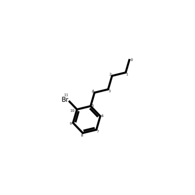 CCCC[CH]c1ccccc1Br